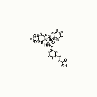 O=C(O)CCc1cccc(CNC(c2ccc3c(c2)OCO3)S(=O)(=O)c2ccccc2)c1